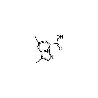 Cc1cc(C(=O)O)n2ncc(C)c2n1